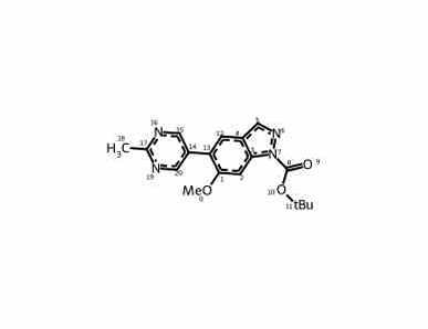 COc1cc2c(cnn2C(=O)OC(C)(C)C)cc1-c1cnc(C)nc1